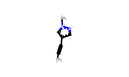 CC#Cc1cnn(C)c1